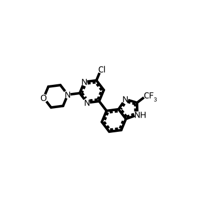 FC(F)(F)c1nc2c(-c3cc(Cl)nc(N4CCOCC4)n3)cccc2[nH]1